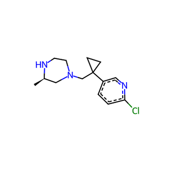 C[C@@H]1CN(CC2(c3ccc(Cl)nc3)CC2)CCN1